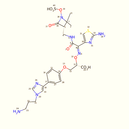 CC1(C)[C@H](CNC(=O)/C(=N\O[C@@H](COc2ccc(-c3cn(CCCN)cn3)cc2)C(=O)O)c2csc(N)n2)C(=O)N1OS(=O)(=O)O